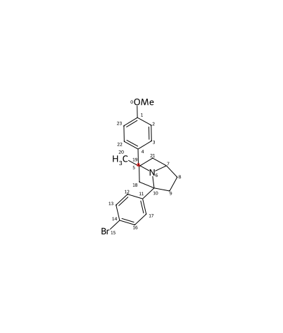 COc1ccc(CN2C3CCC2(c2ccc(Br)cc2)CC(C)C3)cc1